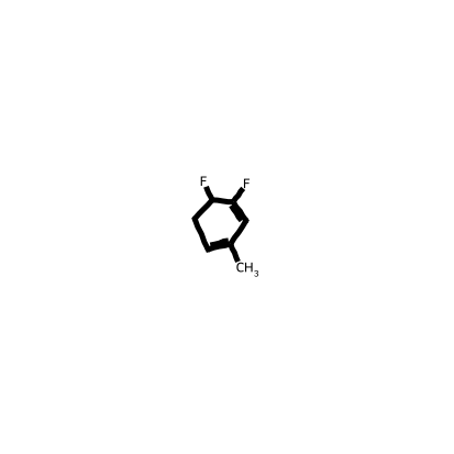 CC1=CCC(F)C(F)=C1